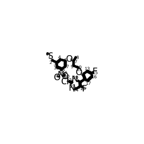 CSCc1cc(OC(C)CCOc2cc(F)ccc2-c2nc(Cl)ncc2F)cc([N+](=O)[O-])c1